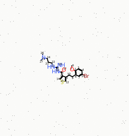 COc1ccc(Br)cc1CCc1cscc1C(=O)NC(=N)NCCCN(C)C